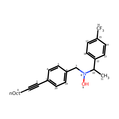 CCCCCCCCC#Cc1ccc(CN(O)C(C)c2ccc(C(F)(F)F)cc2)cc1